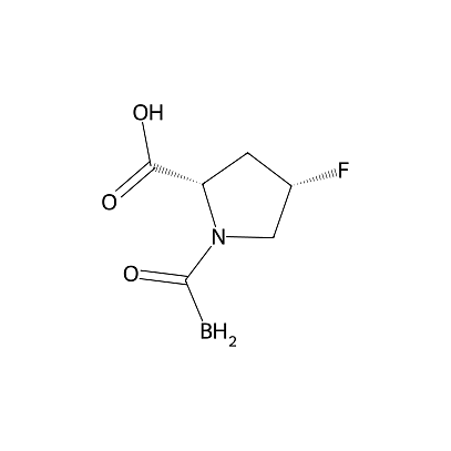 BC(=O)N1C[C@@H](F)C[C@H]1C(=O)O